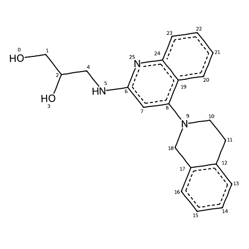 OCC(O)CNc1cc(N2CCc3ccccc3C2)c2ccccc2n1